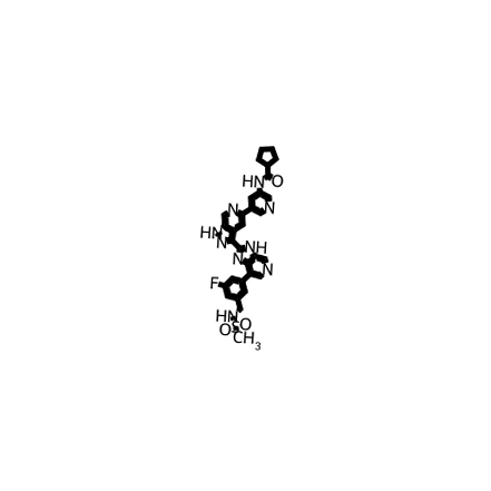 CS(=O)(=O)NCc1cc(F)cc(-c2cncc3[nH]c(-c4n[nH]c5cnc(-c6cncc(NC(=O)C7CCCC7)c6)cc45)nc23)c1